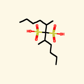 CCCCC(C)C(C(C)CCCC)(S(=O)(=O)O)S(=O)(=O)O